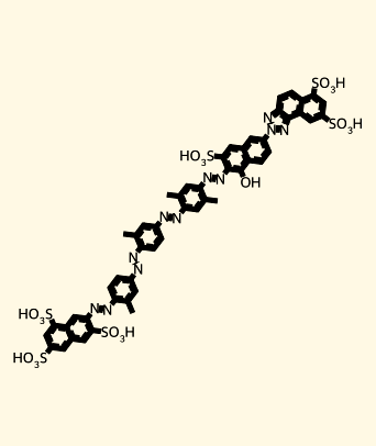 Cc1cc(N=Nc2cc(C)c(N=Nc3c(S(=O)(=O)O)cc4cc(-n5nc6ccc7c(S(=O)(=O)O)cc(S(=O)(=O)O)cc7c6n5)ccc4c3O)cc2C)ccc1N=Nc1ccc(N=Nc2cc3c(S(=O)(=O)O)cc(S(=O)(=O)O)cc3cc2S(=O)(=O)O)c(C)c1